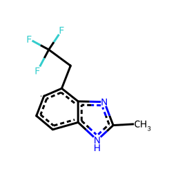 Cc1nc2c(CC(F)(F)F)[c]ccc2[nH]1